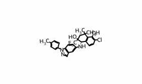 Cc1ccc(-n2ncc3cc(N[C@H]4c5ccc(Cl)c(O)c5C(C)(C)C[C@]4(O)C(F)(F)F)ccc32)cc1